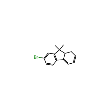 CC1(C)c2cc(Br)ccc2C2=CC=CCC21